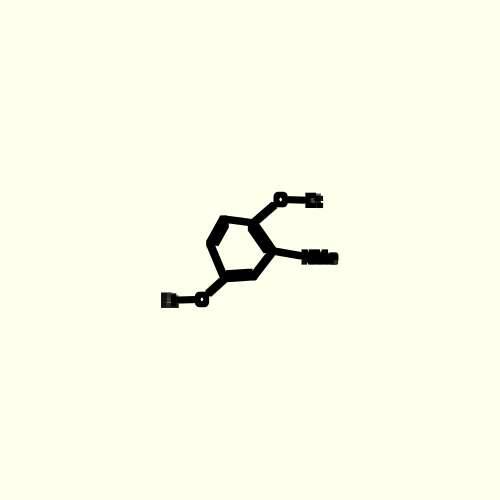 CCOc1ccc(OCC)c(NC)c1